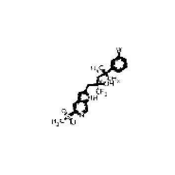 CC(C)(C[C@@](O)(Cc1cc2cc(S(C)(=O)=O)ncc2[nH]1)C(F)(F)F)c1cccc(Br)c1